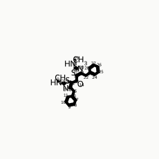 CNc1nc(Cc2ccccc2)c(C(=O)c2sc(NC)nc2Cc2ccccc2)s1